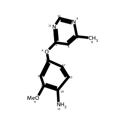 COc1cc(Oc2cc(C)ncn2)ccc1N